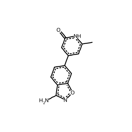 Cc1cc(-c2ccc3c(N)noc3c2)cc(=O)[nH]1